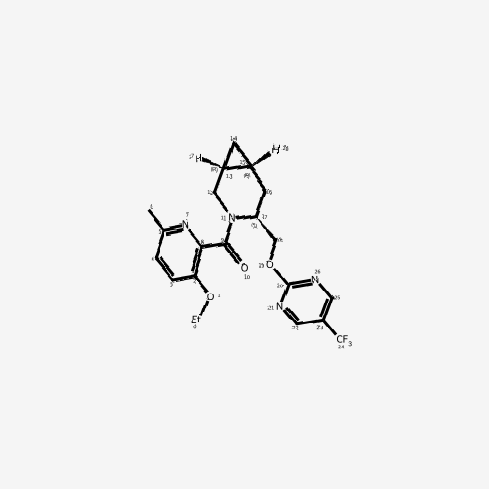 CCOc1ccc(C)nc1C(=O)N1C[C@@H]2C[C@@H]2C[C@H]1COc1ncc(C(F)(F)F)cn1